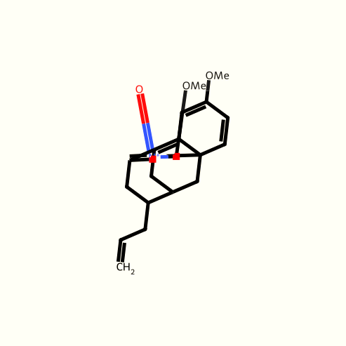 C=CCC1C/C2=C/[N+](=O)/C(OC)=C\C34C=CC(OC)=CC3=C2CC1C4